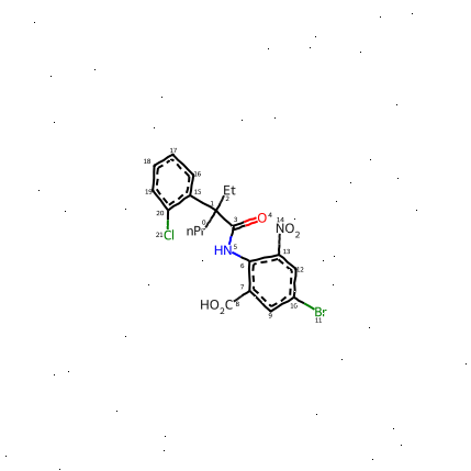 CCCC(CC)(C(=O)Nc1c(C(=O)O)cc(Br)cc1[N+](=O)[O-])c1ccccc1Cl